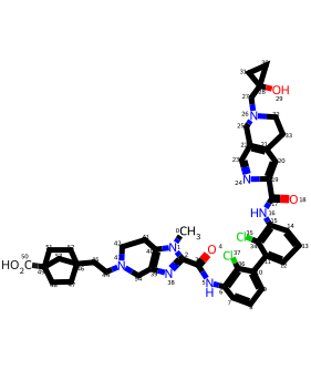 Cn1c(C(=O)Nc2cccc(-c3cccc(NC(=O)c4cc5c(cn4)CN(CC4(O)CC4)CC5)c3Cl)c2Cl)nc2c1CCN(CCC13CCC(C(=O)O)(CC1)C3)C2